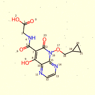 O=C(O)CNC(=O)c1c(O)c2nccnc2n(OCC2CC2)c1=O